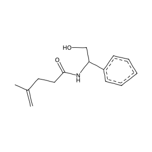 C=C(C)CCC(=O)NC(CO)c1ccccc1